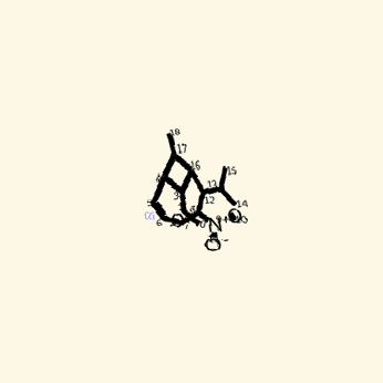 CC(=O)C1C2/C=C\CC([N+](=O)[O-])C(C(C)C)C1C2C